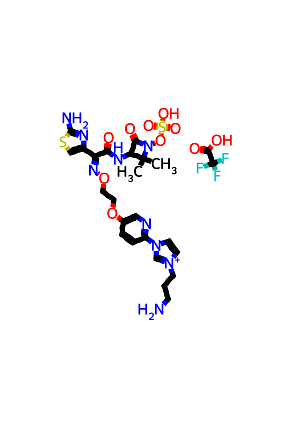 CC1(C)C(NC(=O)C(=NOCCOc2ccc(-n3cc[n+](CCCN)c3)nc2)c2csc(N)n2)C(=O)N1OS(=O)(=O)O.O=C(O)C(F)(F)F